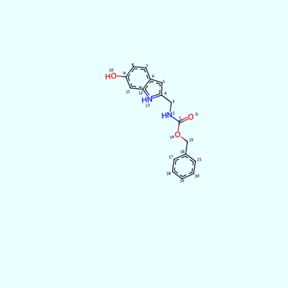 O=C(NCc1cc2ccc(O)cc2[nH]1)OCc1ccccc1